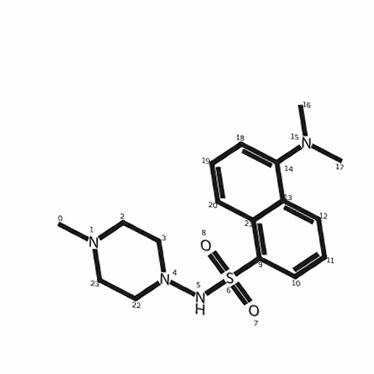 CN1CCN(NS(=O)(=O)c2cccc3c(N(C)C)cccc23)CC1